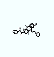 C[C@H](c1ccc(F)cc1)c1nc(C(=O)NC2CCOC2)cnc1NCCN1CCCC1